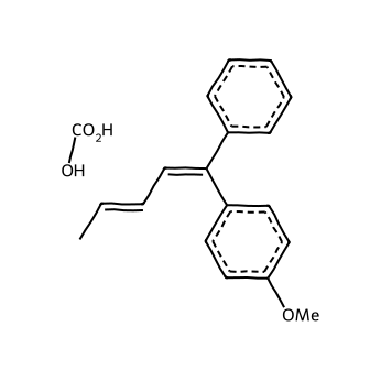 C/C=C/C=C(/c1ccccc1)c1ccc(OC)cc1.O=C(O)O